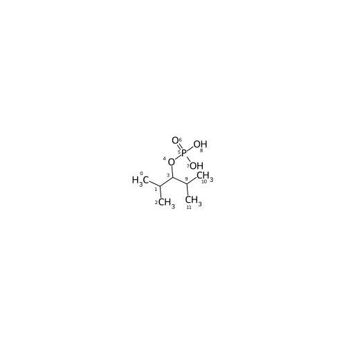 CC(C)C(OP(=O)(O)O)C(C)C